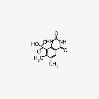 Cc1cc2c(=O)[nH]c(=O)[nH]c2c(S(=O)(=O)O)c1C